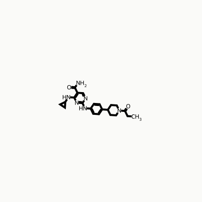 CCC(=O)N1CCC(c2ccc(Nc3ncc(C(N)=O)c(NC4CC4)n3)cc2)CC1